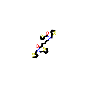 O=C(CCCCCN(Cc1cccs1)C(=O)c1cccs1)N(Cc1cccs1)Cc1cccs1